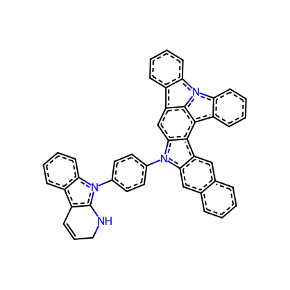 C1=Cc2c(n(-c3ccc(-n4c5cc6ccccc6cc5c5c6c7ccccc7n7c8ccccc8c(cc54)c67)cc3)c3ccccc23)NC1